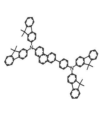 CC1(C)c2ccccc2-c2ccc(N(c3ccc(-c4ccc5c(ccc6cc(N(c7ccc8c(c7)C(C)(C)c7ccccc7-8)c7ccc8c(c7)C(C)(C)c7ccccc7-8)ccc65)c4)cc3)c3ccc4c(c3)C(C)(C)c3ccccc3-4)cc21